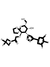 O=C(CO[C@@H]1[C@@H](n2cc(-c3cc(F)c(F)c(F)c3)nn2)[C@@H](O)[C@@H](CO)O[C@@]12CCCO2)N1CC(F)(F)C1